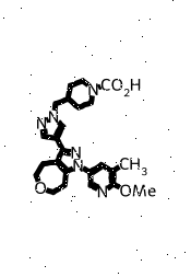 COc1ncc(-n2nc(-c3cnn(CC4CCN(C(=O)O)CC4)c3)c3c2CCOCC3)cc1C